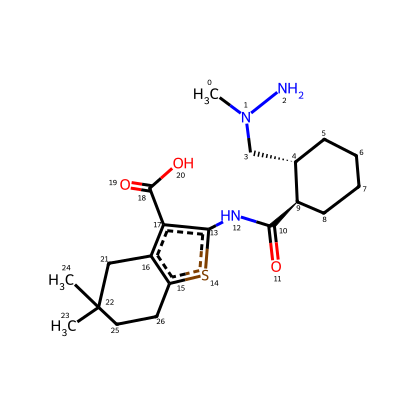 CN(N)C[C@@H]1CCCC[C@H]1C(=O)Nc1sc2c(c1C(=O)O)CC(C)(C)CC2